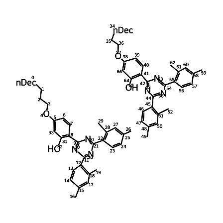 CCCCCCCCCCCCCOc1ccc(-c2nc(-c3ccc(C)cc3C)nc(-c3ccc(C)cc3C)n2)c(O)c1.CCCCCCCCCCCCOc1ccc(-c2nc(-c3ccc(C)cc3C)nc(-c3ccc(C)cc3C)n2)c(O)c1